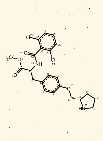 COC(=O)[C@H](Cc1ccc(OC[C@@H]2CCCN2)cc1)NC(=O)c1c(Cl)cccc1Cl